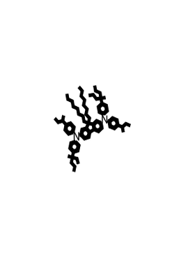 CCCCCCCCC1(CCCCCCCC)c2cc(N(c3ccc(C(C)CC)cc3)c3ccc(C(C)(CC)CCC)cc3)ccc2-c2ccc(N(c3ccc(C(C)CC)cc3)c3ccc(C(C)(CCC)CCC)cc3)cc21